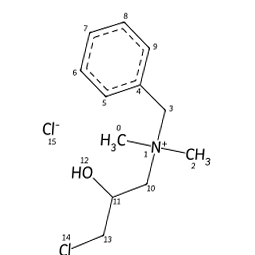 C[N+](C)(Cc1ccccc1)CC(O)CCl.[Cl-]